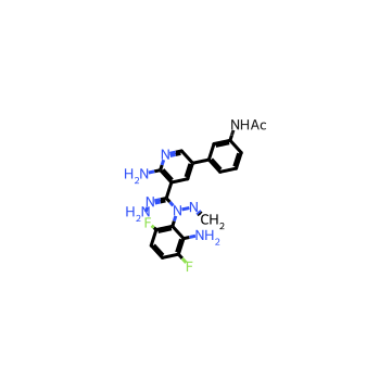 C=NN(/C(=N\N)c1cc(-c2cccc(NC(C)=O)c2)cnc1N)c1c(F)ccc(F)c1N